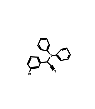 N#CC(c1cccc(Br)c1)N(c1ccccc1)c1ccccc1